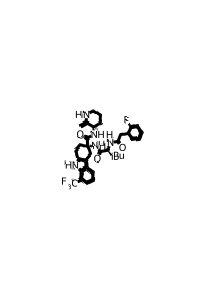 C=C1NCCC[C@@H]1NC(=O)[C@@]1(NC(=O)[C@@H](NC(=O)Cc2ccccc2F)C(C)CC)CCc2[nH]c3c(C(F)(F)F)cccc3c2C1